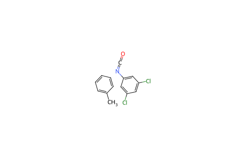 Cc1ccccc1.O=C=Nc1cc(Cl)cc(Cl)c1